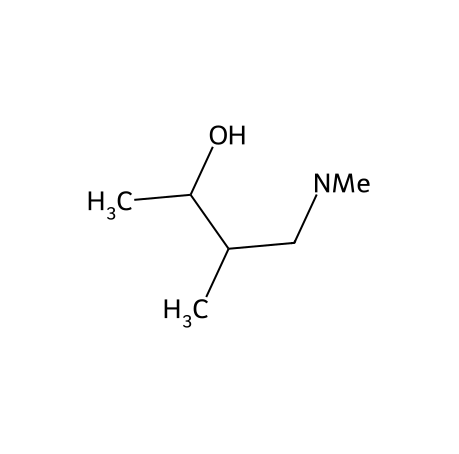 CNCC(C)C(C)O